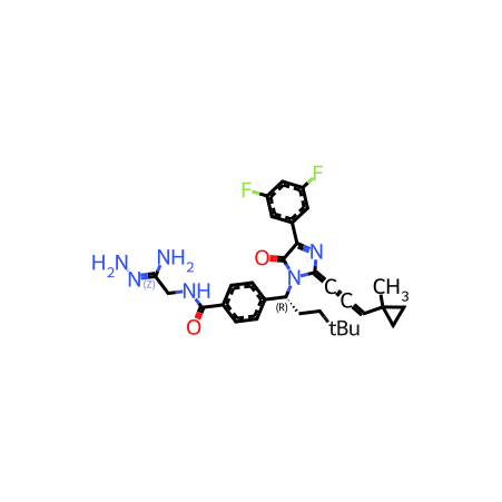 CC(C)(C)CC[C@H](c1ccc(C(=O)NC/C(N)=N/N)cc1)N1C(=O)C(c2cc(F)cc(F)c2)=NC1=C=C=CC1(C)CC1